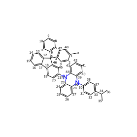 Cc1ccc(C2(c3ccccc3)c3ccccc3-c3ccc(N4c5ccccc5N(c5ccc(C(C)C)cc5)c5ccccc54)cc32)cc1